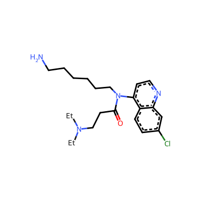 CCN(CC)CCC(=O)N(CCCCCCN)c1ccnc2cc(Cl)ccc12